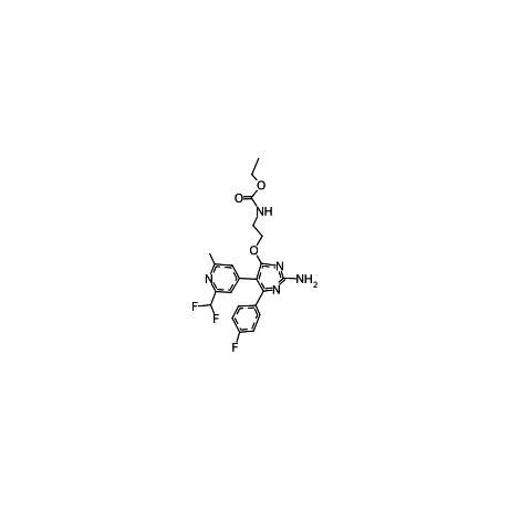 CCOC(=O)NCCOc1nc(N)nc(-c2ccc(F)cc2)c1-c1cc(C)nc(C(F)F)c1